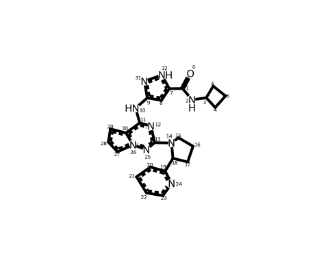 O=C(NC1CCC1)c1cc(Nc2nc(N3CCCC3c3ccccn3)nn3cccc23)n[nH]1